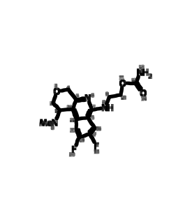 CNC1COCc2nc(NCCOC(N)=O)c3cc(F)c(F)cc3c21